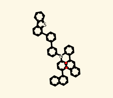 c1cc(-c2cccc(N(c3ccc(-c4cccc5ccccc45)cc3)c3ccccc3-c3ccc4ccccc4c3)c2)cc(-c2cccc3c2sc2ccccc23)c1